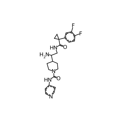 NC(CNC(=O)C1(c2ccc(F)c(F)c2)CC1)C1CCN(C(=O)Nc2ccncc2)CC1